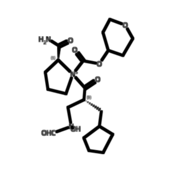 NC(=O)[C@@H]1CCC[N+]1(C(=O)OC1CCOCC1)C(=O)[C@H](CC1CCCC1)CN(O)C=O